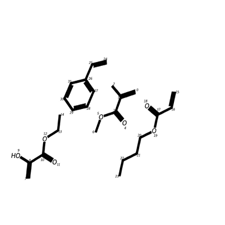 C=C(C)C(=O)OC.C=C(O)C(=O)OCC.C=CC(=O)OCCCC.C=Cc1ccccc1